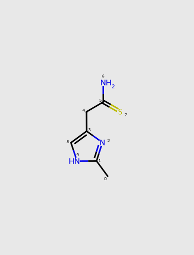 Cc1nc(CC(N)=S)c[nH]1